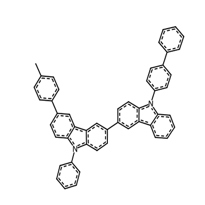 Cc1ccc(-c2ccc3c(c2)c2cc(-c4ccc5c(c4)c4ccccc4n5-c4ccc(-c5ccccc5)cc4)ccc2n3-c2ccccc2)cc1